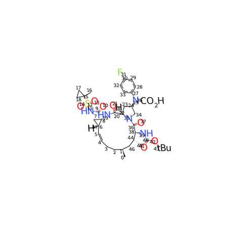 C[C@H]1CC/C=C\[C@@H]2C[C@@]2(C(=O)NS(=O)(=O)C2(C)CC2)NC(=O)[C@@H]2C[C@@H](N(C(=O)O)c3ccc(F)cc3)CN2C(=O)[C@@H](NC(=O)OC(C)(C)C)[C@H](C)C1